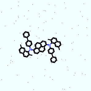 Cc1ccc2ccc(C)c(N(c3ccc(-c4ccccc4)cc3)c3ccc4ccc5c(N(c6ccc(-c7ccccc7)cc6)c6c(C)ccc7ccc(C)cc67)ccc6ccc3c4c65)c2c1